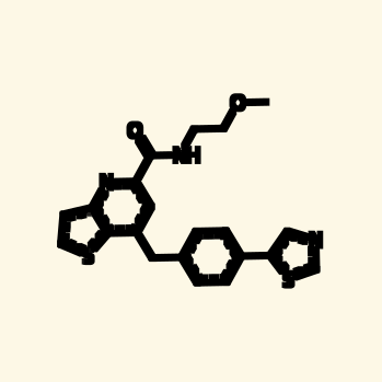 COCCNC(=O)c1cc(Cc2ccc(-c3cncs3)cc2)c2sccc2n1